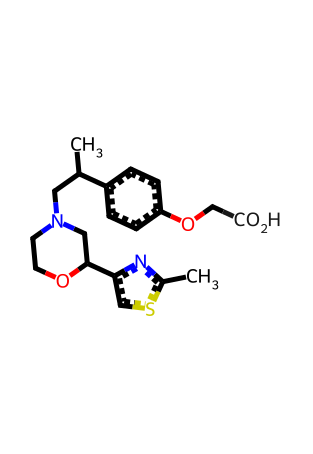 Cc1nc(C2CN(CC(C)c3ccc(OCC(=O)O)cc3)CCO2)cs1